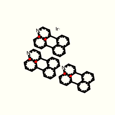 [Ir].c1ccc(-c2cccc3cccc(-c4ccncc4)c23)cc1.c1ccc(-c2cccc3cccc(-c4ccncc4)c23)cc1.c1ccc(-c2cccc3cccc(-c4ccncc4)c23)cc1